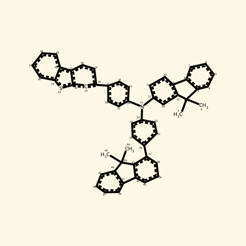 CC1(C)c2ccccc2-c2ccc(N(c3ccc(-c4ccc5c(c4)sc4ccccc45)cc3)c3ccc(-c4cccc5c4C(C)(C)c4ccccc4-5)cc3)cc21